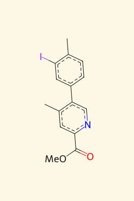 COC(=O)c1cc(C)c(-c2ccc(C)c(I)c2)cn1